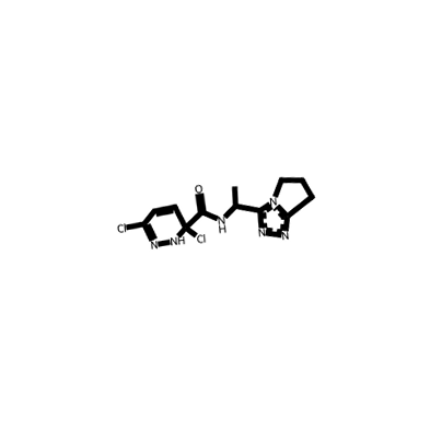 CC(NC(=O)C1(Cl)C=CC(Cl)=NN1)c1nnc2n1CCC2